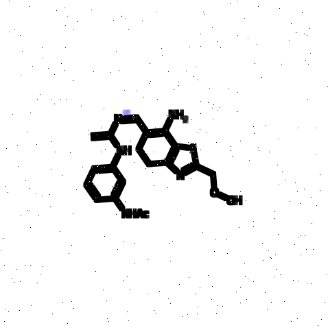 C=C(/N=C\C1=C(N)c2sc(COO)nc2CC1)Nc1cccc(NC(C)=O)c1